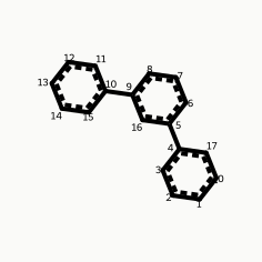 [c]1cccc(-c2c[c]cc(-c3ccccc3)c2)c1